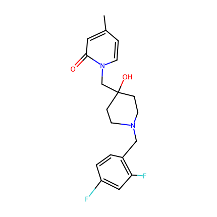 Cc1ccn(CC2(O)CCN(Cc3ccc(F)cc3F)CC2)c(=O)c1